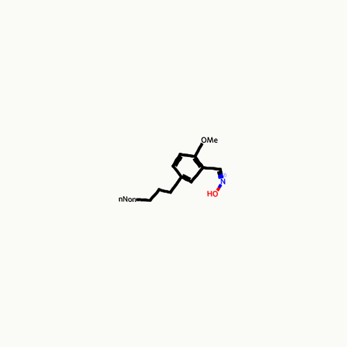 CCCCCCCCCCCCc1ccc(OC)c(/C=N\O)c1